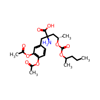 CCCC(C)OC(=O)O[C@@H](C)CC(N)(Cc1ccc(OC(C)=O)c(OC(C)=O)c1)C(=O)O